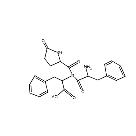 NC(Cc1ccccc1)C(=O)N(C(=O)C1CCC(=O)N1)C(Cc1ccccc1)C(=O)O